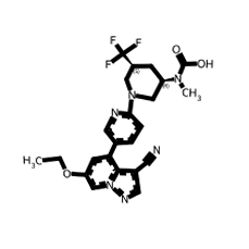 CCOc1cc(-c2ccc(N3C[C@H](N(C)C(=O)O)C[C@H](C(F)(F)F)C3)nc2)c2c(C#N)cnn2c1